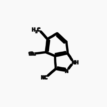 Cc1ccc2[nH]nc(C#N)c2c1C(C)(C)C